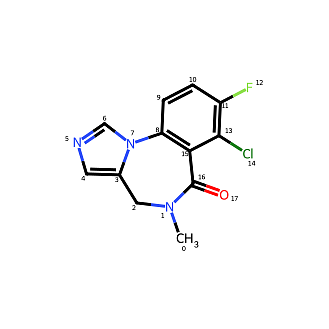 CN1Cc2cncn2-c2ccc(F)c(Cl)c2C1=O